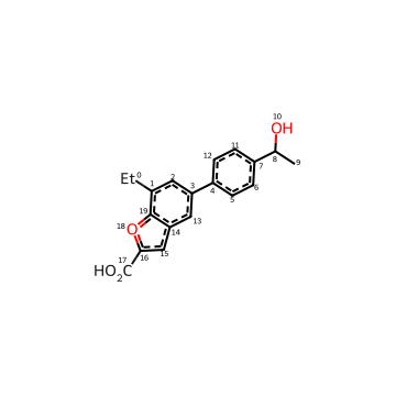 CCc1cc(-c2ccc(C(C)O)cc2)cc2cc(C(=O)O)oc12